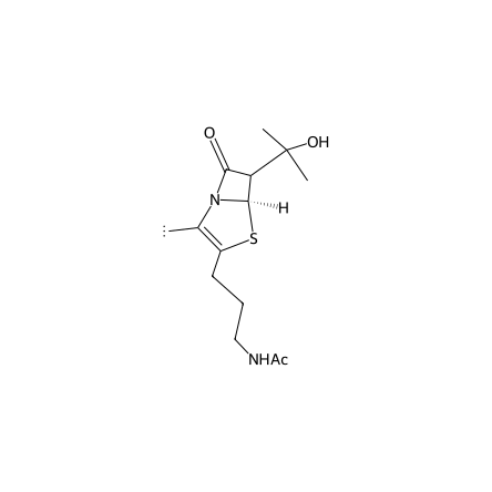 [C]C1=C(CCCNC(C)=O)S[C@@H]2C(C(C)(C)O)C(=O)N12